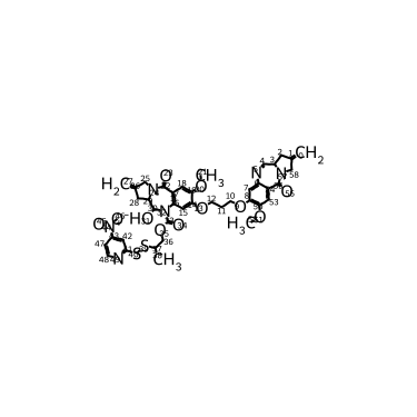 C=C1CC2C=Nc3cc(OCCCOc4cc5c(cc4OC)C(=O)N4CC(=C)CC4C(O)N5C(=O)OCC(C)SSc4cc([N+](=O)[O-])ccn4)c(OC)cc3C(=O)N2C1